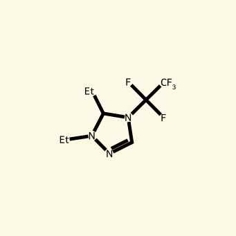 CCC1N(CC)N=CN1C(F)(F)C(F)(F)F